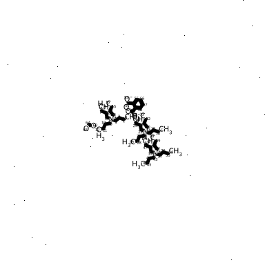 CCCC[N+](CCCC)(CCCC)CCCC.CCCC[N+](CCCC)(CCCC)CCCC.CCCC[N+](CCCC)(CCCC)CCCC.O=C([O-])c1ccccc1C(=O)[O-].O=C[O-]